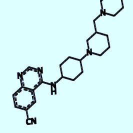 N#Cc1ccc2ncnc(NC3CCC(N4CCCC(CN5CCOCC5)C4)CC3)c2c1